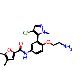 Cc1cc(C(=O)Nc2ccc(OCCN)c(-c3c(Cl)cnn3C)c2)oc1C